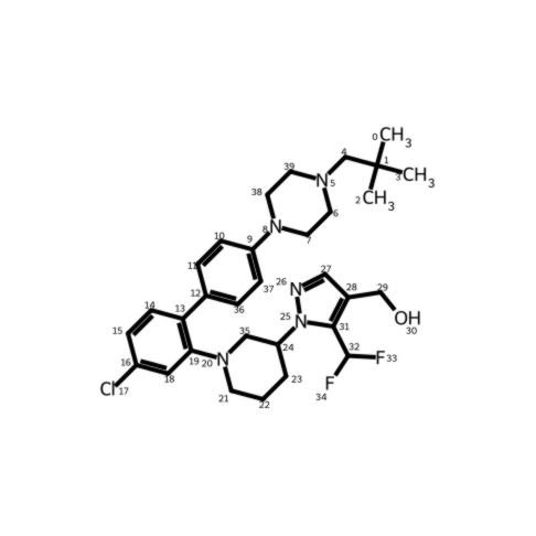 CC(C)(C)CN1CCN(c2ccc(-c3ccc(Cl)cc3N3CCCC(n4ncc(CO)c4C(F)F)C3)cc2)CC1